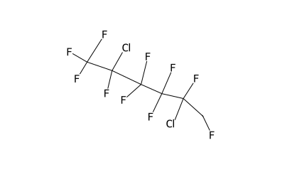 FCC(F)(Cl)C(F)(F)C(F)(F)C(F)(Cl)C(F)(F)F